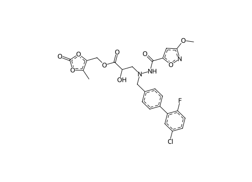 COc1cc(C(=O)NN(Cc2ccc(-c3cc(Cl)ccc3F)cc2)CC(O)C(=O)OCc2oc(=O)oc2C)on1